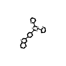 c1ccc(-c2nc(-c3ccc(-c4cnc5ccccc5c4)cc3)nc(-c3ccccn3)n2)nc1